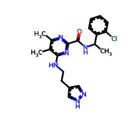 Cc1nc(C(=O)NC(C)c2ccccc2Cl)nc(NCCc2cn[nH]c2)c1C